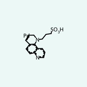 O=S(=O)(O)CCCN1CC=Cc2ccc3ncccc3c21.[Pd]